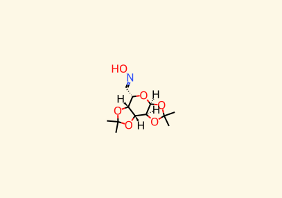 CC1(C)O[C@@H]2O[C@@H](C=NO)[C@H]3OC(C)(C)O[C@H]3[C@@H]2O1